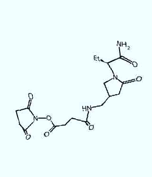 CC[C@@H](C(N)=O)N1CC(CNC(=O)CCC(=O)ON2C(=O)CCC2=O)CC1=O